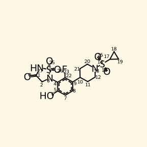 O=C1CN(c2c(O)ccc(C3CCN(S(=O)(=O)C4CC4)CC3)c2F)S(=O)(=O)N1